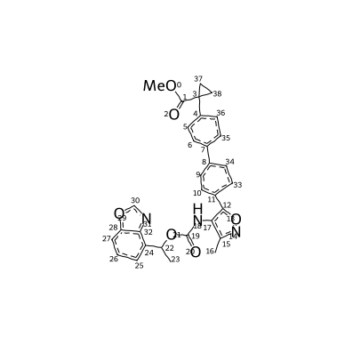 COC(=O)C1(c2ccc(-c3ccc(-c4onc(C)c4NC(=O)OC(C)c4cccc5ocnc45)cc3)cc2)CC1